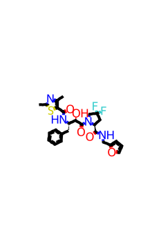 Cc1nc(C)c(C(=O)N[C@@H](Cc2ccccc2)[C@H](O)C(=O)N2CC(F)(F)C[C@H]2C(=O)NCc2ccco2)s1